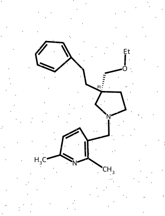 CCOC[C@]1(CCc2ccccc2)CCN(Cc2ccc(C)nc2C)C1